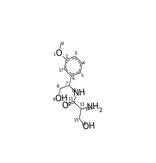 COc1cccc(C(CO)NC(=O)C(N)CO)c1